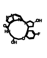 O=C1NC[C@H](O)COc2ccc(F)cc2C2C[C@@H](O)CN2c2ccn3ncc1c3n2